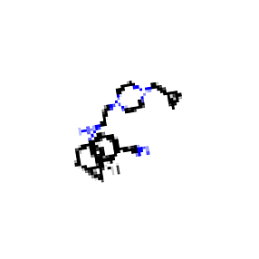 N#Cc1cccc([C@]23CC[C@@H](NCCN4CCN(CC5CC5)CC4)C[C@H]2C3)c1